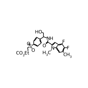 CCOC(=O)CS(=O)(=O)c1ccc(C(CO)NC(=O)c2cc3c(F)c(F)c(C)cc3n2C)cc1